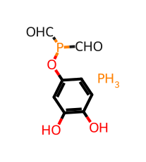 O=CP(C=O)Oc1ccc(O)c(O)c1.P